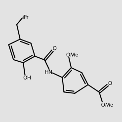 COC(=O)c1ccc(NC(=O)c2cc(CC(C)C)ccc2O)c(OC)c1